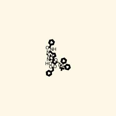 CC(C)(C)[Si](OC[C@H]1O[C@@](C#N)(c2ccc3c(NC(=O)c4ccccc4)ncnn23)[C@H](O)[C@@H]1OC(=O)Cc1ccccc1)(c1ccccc1)c1ccccc1